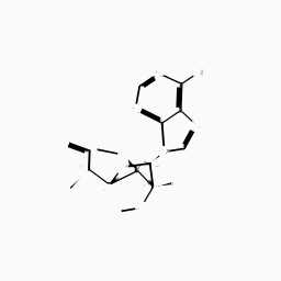 C=C[C@H](C)[C@@]12CO[C@@H]([C@H](n3cnc4c(N)ncnc43)O1)[C@@H]2OC